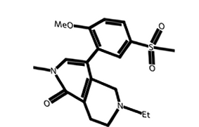 CCN1CCc2c(c(-c3cc(S(C)(=O)=O)ccc3OC)cn(C)c2=O)C1